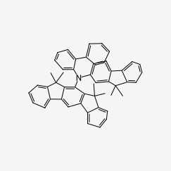 CC1(C)c2ccccc2-c2ccc(N(c3ccccc3-c3ccccc3)c3c4c(cc5c3C(C)(C)c3ccccc3-5)-c3ccccc3C4(C)C)cc21